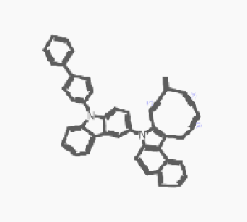 C=C1/C=C\C=C/Cc2c(n(-c3ccc4c(c3)c3ccccc3n4-c3ccc(-c4ccccc4)cc3)c3ccc4ccccc4c23)/C=C\1